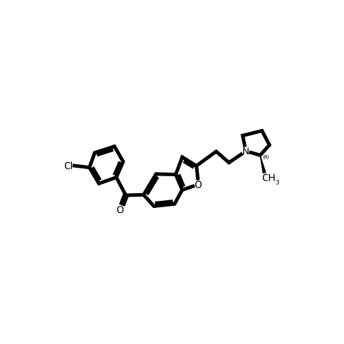 C[C@@H]1CCCN1CCc1cc2cc(C(=O)c3cccc(Cl)c3)ccc2o1